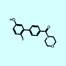 O=C(c1ccc(-c2cc(O)ccc2F)cc1)N1CCOCC1